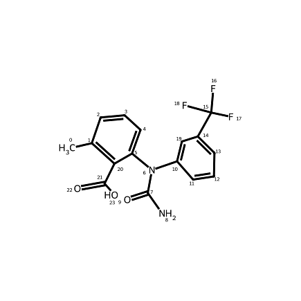 Cc1cccc(N(C(N)=O)c2cccc(C(F)(F)F)c2)c1C(=O)O